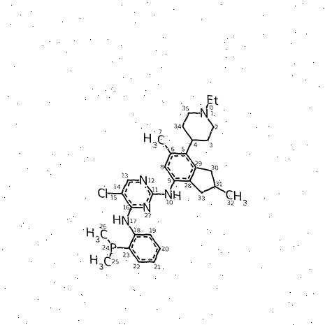 CCN1CCC(c2c(C)cc(Nc3ncc(Cl)c(Nc4ccccc4P(C)C)n3)c3c2CC(C)C3)CC1